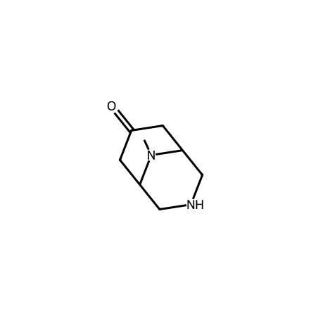 CN1C2CNCC1CC(=O)C2